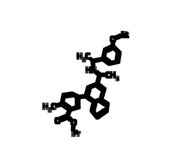 CCOc1cccc([C@@H](C)NC(C)c2cc(-c3ccc(C)c(C(=O)OC(C)C)c3)c3ccccc3c2)c1